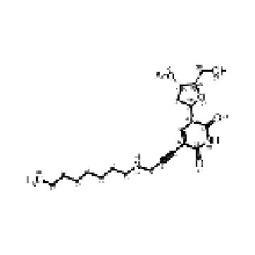 CC(=O)O[C@H]1C[C@H](n2cc(C#CCNCCCCCCCC(F)(F)F)c(=O)[nH]c2=O)O[C@@H]1CO